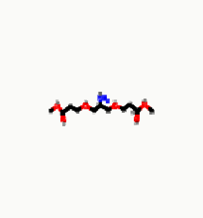 COC(=O)CCOCC(N)COCCC(=O)OC